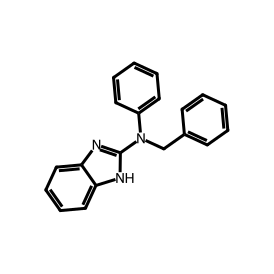 c1ccc(CN(c2ccccc2)c2nc3ccccc3[nH]2)cc1